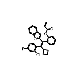 C=CC(=O)Oc1ccccc1/C(=C(/c1ccc(F)cc1Cl)C1CCC1)c1cc2ccccc2o1